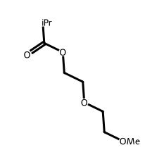 COCCOCCOC(=O)C(C)C